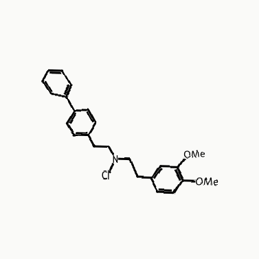 COc1ccc(CCN(Cl)CCc2ccc(-c3ccccc3)cc2)cc1OC